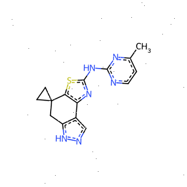 Cc1ccnc(Nc2nc3c(s2)C2(CC2)Cc2[nH]ncc2-3)n1